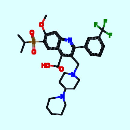 COc1cc2nc(-c3cccc(C(F)(F)F)c3)c(CN3CCC(N4CCCCC4)CC3)c(C(=O)O)c2cc1S(=O)(=O)C(C)C